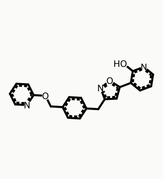 Oc1ncccc1-c1cc(Cc2ccc(COc3ccccn3)cc2)no1